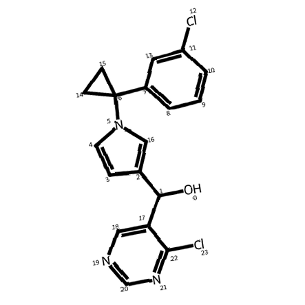 OC(c1ccn(C2(c3cccc(Cl)c3)CC2)c1)c1cncnc1Cl